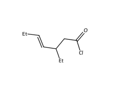 CCC=CC(CC)CC(=O)Cl